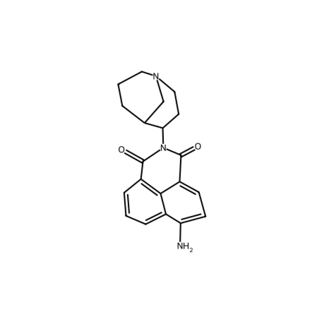 Nc1ccc2c3c(cccc13)C(=O)N(C1CCN3CCCC1C3)C2=O